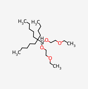 CCCCCC(CCCC)(CCCCC)[SiH](OCCOCC)OCCOCC